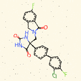 O=C1NC(=O)[C@@](CN2Cc3ccc(F)cc3C2=O)(c2ccc(-c3ccc(F)c(Cl)c3)cc2)N1